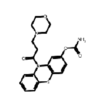 NC(=O)Oc1ccc2c(c1)N(C(=O)CCN1CCOCC1)c1ccccc1S2